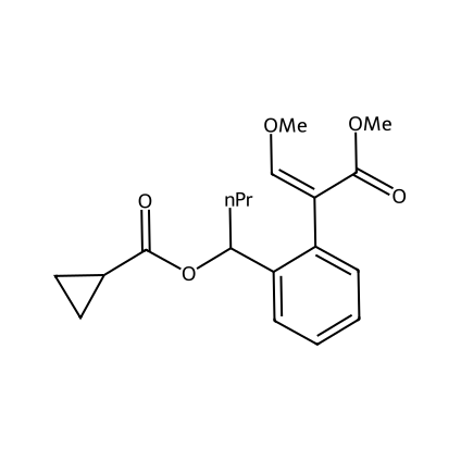 CCCC(OC(=O)C1CC1)c1ccccc1C(=COC)C(=O)OC